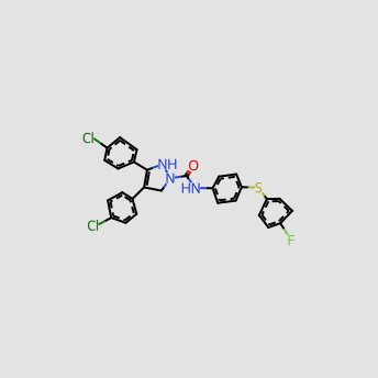 O=C(Nc1ccc(Sc2ccc(F)cc2)cc1)N1CC(c2ccc(Cl)cc2)=C(c2ccc(Cl)cc2)N1